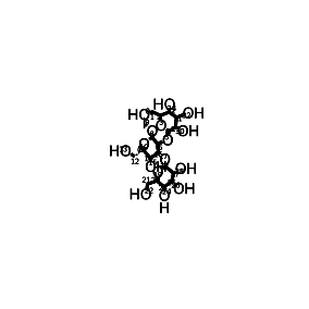 OCC1OC(OC2C(OI)O[C@@H](CO)C(O)C2OC2OC(CO)C(O)C(O)C2O)C(O)C(O)C1O